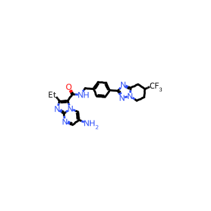 CCc1nc2ncc(N)cn2c1C(=O)NCc1ccc(-c2nc3n(n2)CCC(C(F)(F)F)C3)cc1